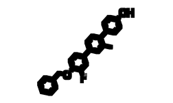 Cc1cc(-c2ccc(OCc3ccccc3)c(F)c2)ccc1-c1ccc(O)cc1